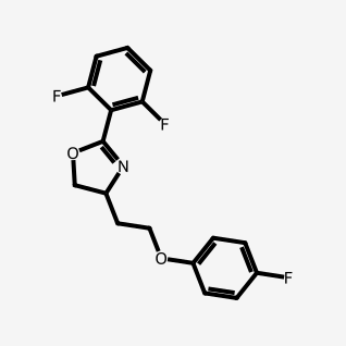 Fc1ccc(OCCC2COC(c3c(F)cccc3F)=N2)cc1